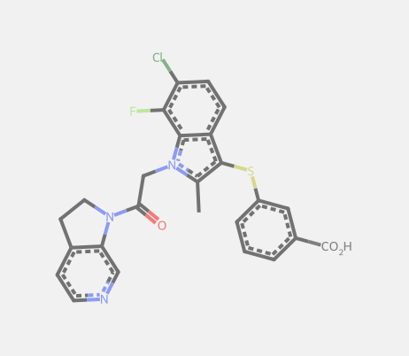 Cc1c(Sc2cccc(C(=O)O)c2)c2ccc(Cl)c(F)c2n1CC(=O)N1CCc2ccncc21